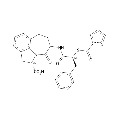 O=C(S[C@@H](Cc1ccccc1)C(=O)NC1CCc2cccc3c2N(C1=O)[C@H](C(=O)O)C3)c1cccs1